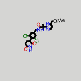 COCc1ccnc(C(C)(C)C(=O)NCc2cc(Cl)c(C3CCC(=O)NC3=O)c(Cl)c2)n1